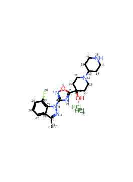 CC(C)c1nn(-c2noc(C3(O)CCN(C4CCNCC4)CC3)n2)c2c(F)cccc12.Cl.Cl